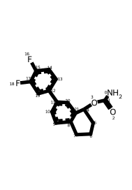 NC(=O)OC1CCCc2ccc(-c3ccc(F)c(F)c3)cc21